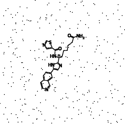 NC(=O)CCCCC[C@H](NC(=O)c1cncs1)c1ncc(-c2ccc3ccncc3c2)[nH]1